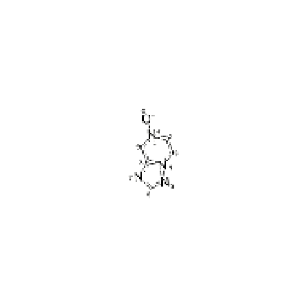 [O-][n+]1ccn2ncnc2c1